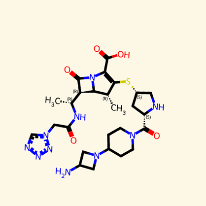 C[C@H]1C(S[C@@H]2CN[C@H](C(=O)N3CCC(N4CC(N)C4)CC3)C2)=C(C(=O)O)N2C(=O)[C@H]([C@@H](C)NC(=O)Cn3cnnn3)C12